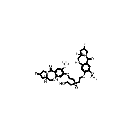 COc1cc2c(cc1OCCP(=O)(CCO)CCOc1cc3c(cc1OC)C(=O)N1CC(F)C[C@H]1CN3)NC[C@@H]1CC(F)CN1C2=O